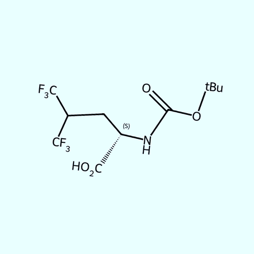 CC(C)(C)OC(=O)N[C@@H](CC(C(F)(F)F)C(F)(F)F)C(=O)O